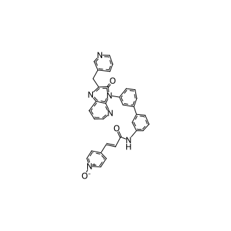 O=C(C=Cc1cc[n+]([O-])cc1)Nc1cccc(-c2cccc(-n3c(=O)c(Cc4cccnc4)nc4cccnc43)c2)c1